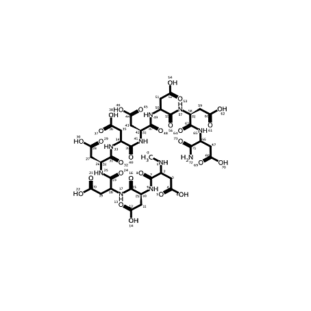 CNC(CC(=O)O)C(=O)N[C@@H](CC(=O)O)C(=O)NC(CC(=O)O)C(=O)N[C@@H](CC(=O)O)C(=O)NC(CC(=O)O)C(=O)N[C@@H](CC(=O)O)C(=O)NC(CC(=O)O)C(=O)N[C@@H](CC(=O)O)C(=O)NC(CC(=O)O)C(N)=O